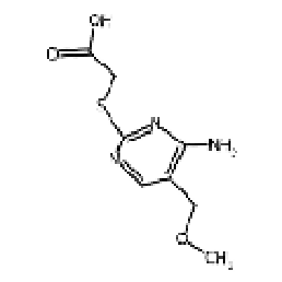 COCc1cnc(SCC(=O)O)nc1N